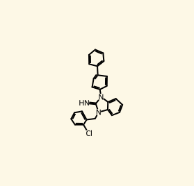 N=c1n(Cc2ccccc2Cl)c2ccccc2n1-c1ccc(-c2ccccc2)cc1